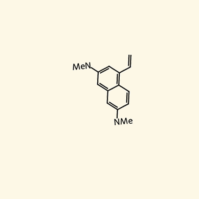 C=Cc1cc(NC)cc2cc(NC)ccc12